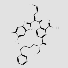 C=C(/C(=C\C=C/Cl)c1nc2cc(F)c(OC)cc2[nH]1)c1ccc(C(=O)N(CC)CCCCc2ccccc2)cc1C(=O)O